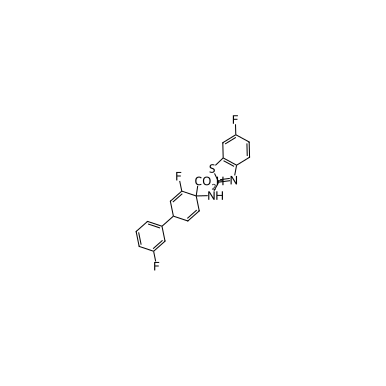 O=C(O)C1(Nc2nc3ccc(F)cc3s2)C=CC(c2cccc(F)c2)C=C1F